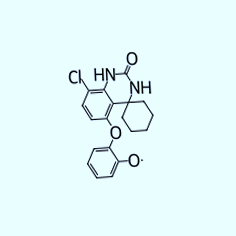 [O]c1ccccc1Oc1ccc(Cl)c2c1C1(CCCCC1)NC(=O)N2